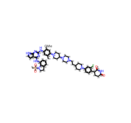 COc1cc(N2CCC(N3CCN(CCC4CCN(c5ccc(C6CCC(=O)NC6=O)c(F)c5)CC4)CC3)CC2)c(C)cc1Nc1nc(Nc2cccc3c2N(S(C)(=O)=O)CC3)c2cc[nH]c2n1